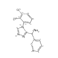 NC(c1cccnc1)c1nncn1-c1cccc(Cl)c1Cl